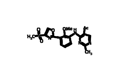 COc1c(Nc2nc(C)ncc2C(C)=O)cccc1-c1nc(S(C)(=O)=O)co1